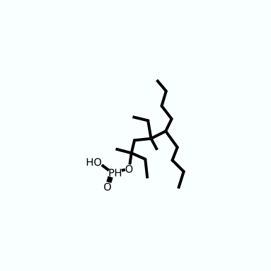 CCCCC(CCCC)C(C)(CC)CC(C)(CC)O[PH](=O)O